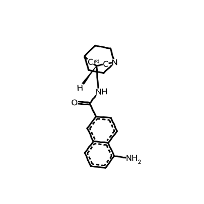 Nc1cccc2cc(C(=O)N[C@@H]3CC4CCN(CC4)C3)ccc12